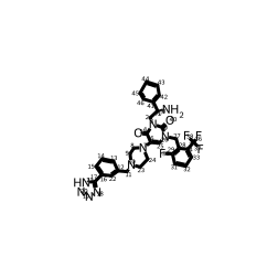 N[C@@H](Cn1c(=O)c(N2CCN(Cc3cccc(-c4nnn[nH]4)c3)CC2)cn(Cc2c(F)cccc2C(F)(F)F)c1=O)c1ccccc1